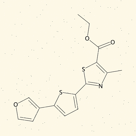 CCOC(=O)c1sc(-c2ccc(-c3ccoc3)s2)nc1C